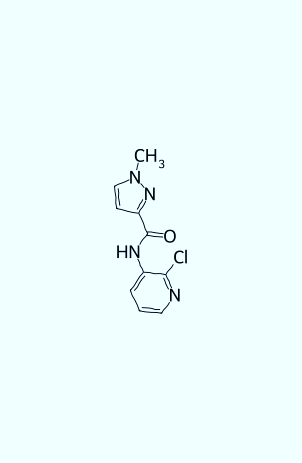 Cn1ccc(C(=O)Nc2cccnc2Cl)n1